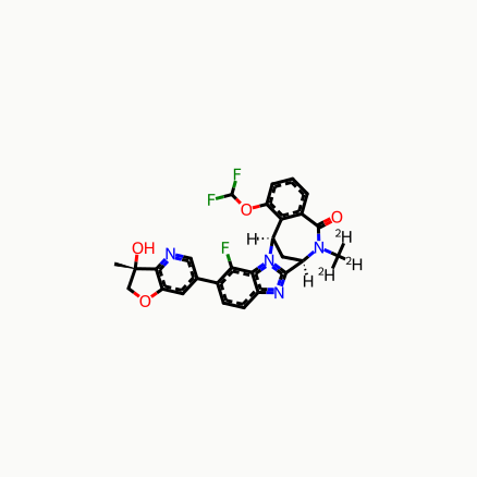 [2H]C([2H])([2H])N1C(=O)c2cccc(OC(F)F)c2[C@H]2C[C@@H]1c1nc3ccc(-c4cnc5c(c4)OC[C@]5(C)O)c(F)c3n12